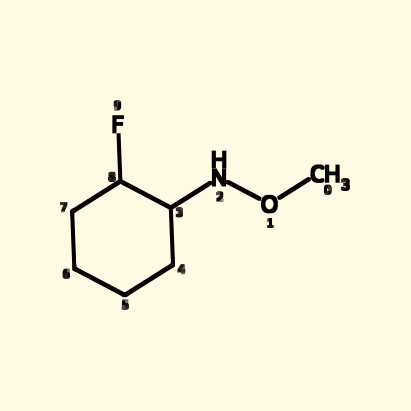 CONC1CCCCC1F